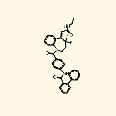 CCNC(=O)/C=C1/c2ccccc2N(C(=O)c2ccc(NC(=O)c3ccccc3-c3ccccc3)cc2)CCC1(F)F